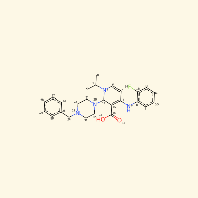 CC(C)N1C=CC(Nc2ccccc2F)=C(C(=O)O)C1N1CCN(Cc2ccccc2)CC1